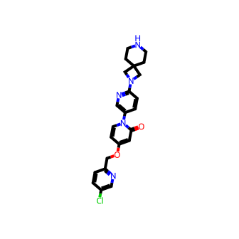 O=c1cc(OCc2ccc(Cl)cn2)ccn1-c1ccc(N2CC3(CCNCC3)C2)nc1